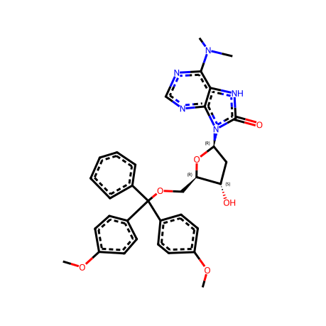 COc1ccc(C(OC[C@H]2O[C@@H](n3c(=O)[nH]c4c(N(C)C)ncnc43)C[C@@H]2O)(c2ccccc2)c2ccc(OC)cc2)cc1